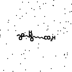 C=CC(=O)OCCCNC(=O)CCCCCCC(=O)O